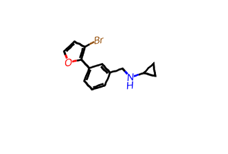 Brc1ccoc1-c1cccc(CNC2CC2)c1